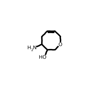 NC1CC=CCOCC1O